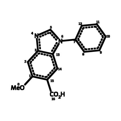 COc1cc2ncn(-c3ccccc3)c2cc1C(=O)O